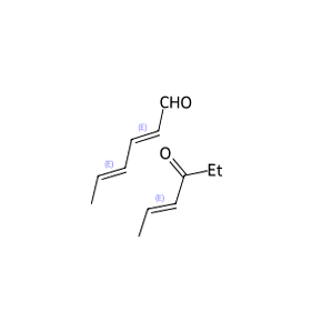 C/C=C/C(=O)CC.C/C=C/C=C/C=O